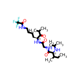 CCC(C)[C@H](NC(C)C)C(=O)NCC(=O)N[C@@H](CCCCNC(=O)C(F)(F)F)C(=O)C(C)C